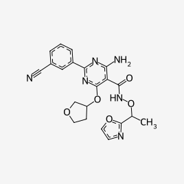 CC(ONC(=O)c1c(N)nc(-c2cccc(C#N)c2)nc1OC1CCOC1)c1ncco1